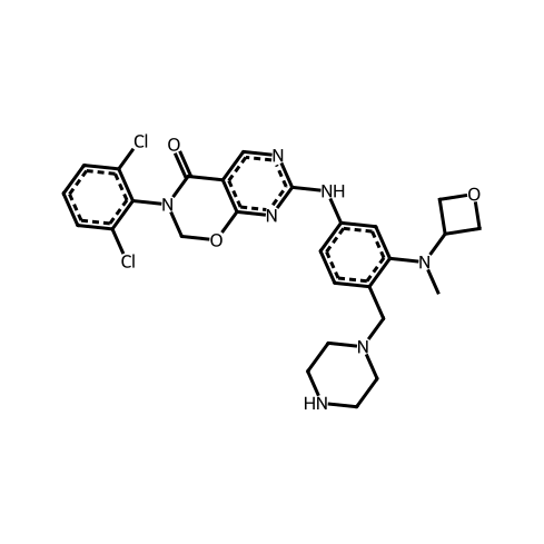 CN(c1cc(Nc2ncc3c(n2)OCN(c2c(Cl)cccc2Cl)C3=O)ccc1CN1CCNCC1)C1COC1